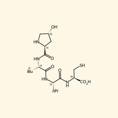 CCC[C@H](NC(=O)[C@@H](NC(=O)[C@@H]1C[C@@H](O)CN1)[C@@H](C)CC)C(=O)N[C@@H](CS)C(=O)O